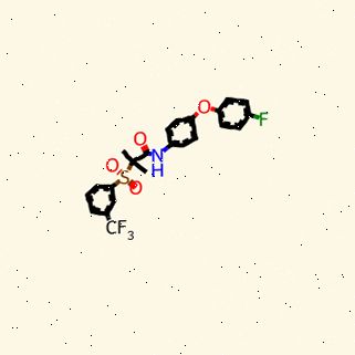 CC(C)(C(=O)Nc1ccc(Oc2ccc(F)cc2)cc1)S(=O)(=O)c1cccc(C(F)(F)F)c1